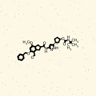 COc1cc(OCc2ccccc2)c(C=O)c2c1CC(C(=O)Nc1cc([C@H]3CC[C@@H](OC(=O)NC(C)(C)C)C3)[nH]n1)C2